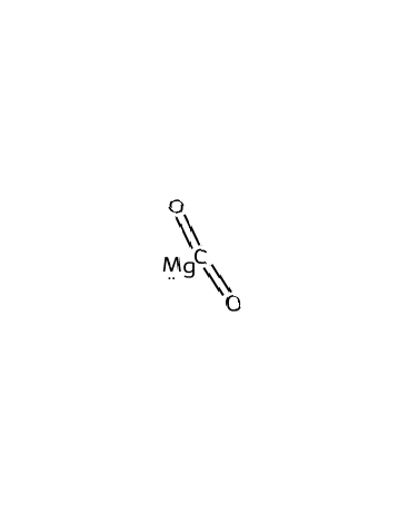 O=C=O.[Mg]